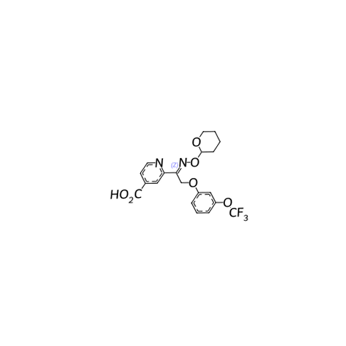 O=C(O)c1ccnc(/C(COc2cccc(OC(F)(F)F)c2)=N/OC2CCCCO2)c1